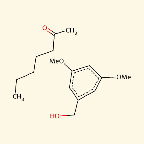 CCCCCC(C)=O.COc1cc(CO)cc(OC)c1